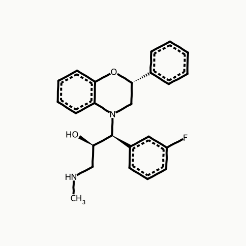 CNC[C@@H](O)[C@H](c1cccc(F)c1)N1C[C@@H](c2ccccc2)Oc2ccccc21